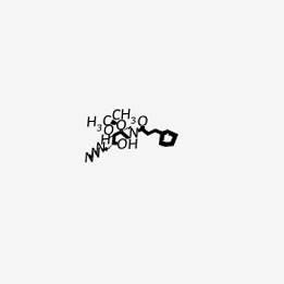 CC1(C)O[C@@H]2[C@@H](CN=[N+]=[N-])OC[C@]2(CNC(=O)CCc2ccccc2)O1